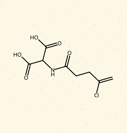 C=C(Cl)CCC(=O)NC(C(=O)O)C(=O)O